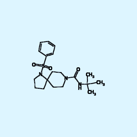 CC(C)(C)NC(=O)N1CCC2(CCCN2S(=O)(=O)c2ccccc2)CC1